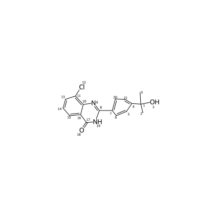 CC(C)(O)c1ccc(-c2nc3c(Cl)cccc3c(=O)[nH]2)cc1